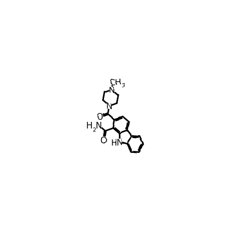 CN1CCN(C(=O)c2ccc3c([nH]c4ccccc43)c2C(N)=O)CC1